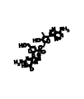 C[C@H]1[C@H](O)[C@@H](COP(=O)(O)[C@@H]2CC(CO)O[C@H]2n2cnc3c(=O)[nH]c(N)nc32)O[C@H]1n1cnc2c(N)ncnc21